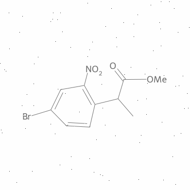 COC(=O)C(C)c1ccc(Br)cc1[N+](=O)[O-]